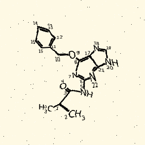 CC(C)C(=O)Nc1nc(OCc2ccccc2)c2nc[nH]c2n1